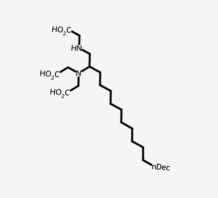 CCCCCCCCCCCCCCCCCCCCC(CNCC(=O)O)N(CC(=O)O)CC(=O)O